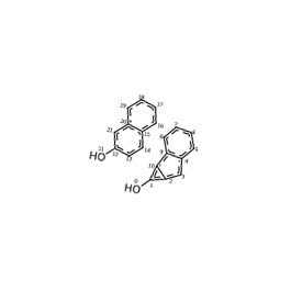 Oc1c2cc3ccccc3c1-2.Oc1ccc2ccccc2c1